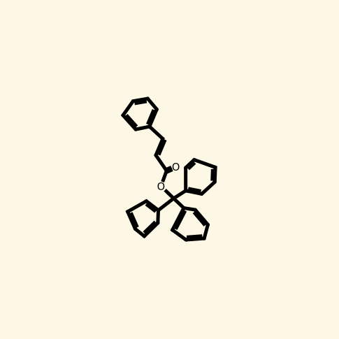 O=C(/C=C/c1ccccc1)OC(c1ccccc1)(c1ccccc1)c1ccccc1